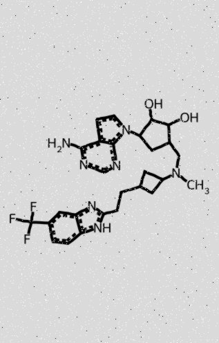 CN(CC1CC(n2ccc3c(N)ncnc32)C(O)C1O)C1CC(CCc2nc3cc(C(F)(F)F)ccc3[nH]2)C1